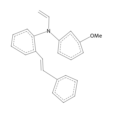 C=CN(c1cccc(OC)c1)c1ccccc1C=Cc1ccccc1